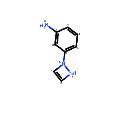 Nc1cccc(-n2cc[nH]2)c1